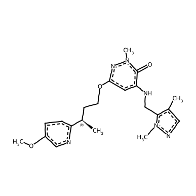 COc1ccc([C@H](C)CCOc2cc(NCc3c(C)cnn3C)c(=O)n(C)n2)nc1